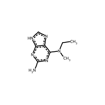 CCN(C)c1nc(N)nc2[nH]cnc12